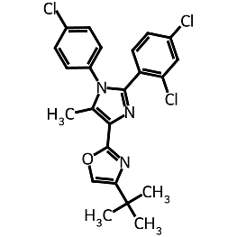 Cc1c(-c2nc(C(C)(C)C)co2)nc(-c2ccc(Cl)cc2Cl)n1-c1ccc(Cl)cc1